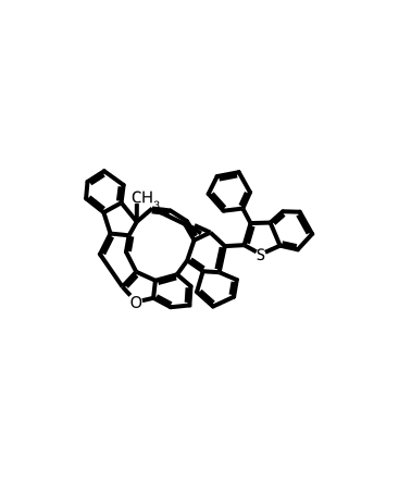 CC12c3ccc4c(c5ccccc5c(-c5sc6ccccc6c5-c5ccccc5)c4c3)-c3cccc4oc5cc(c1cc5c34)-c1ccccc12